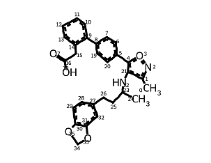 Cc1noc(-c2ccc(-c3ccccc3CC(=O)O)cc2)c1NC(C)CCc1ccc2c(c1)OCO2